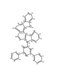 c1ccc(-c2nc(-c3ccccc3)nc(-n3c4ccccc4c4c5c(ccc6c7ccccc7oc65)ccc43)n2)cc1